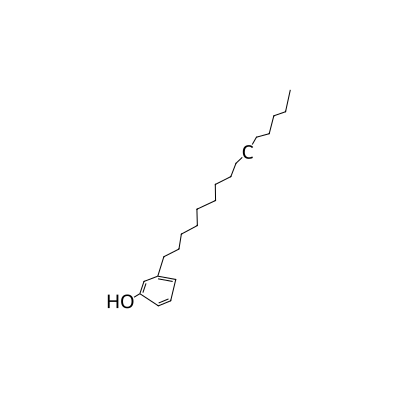 CCCCCCCCCCCCCCCc1cccc(O)c1